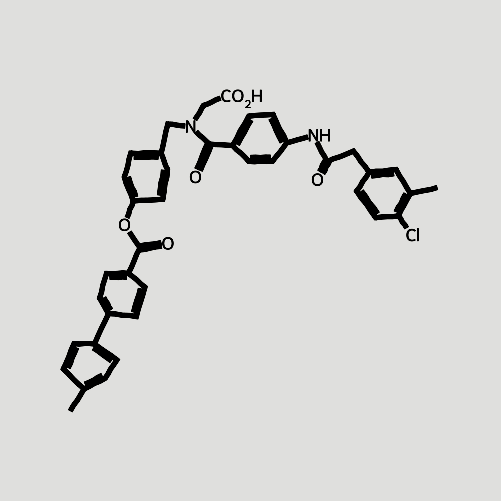 Cc1ccc(-c2ccc(C(=O)Oc3ccc(CN(CC(=O)O)C(=O)c4ccc(NC(=O)Cc5ccc(Cl)c(C)c5)cc4)cc3)cc2)cc1